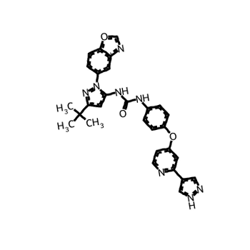 CC(C)(C)c1cc(NC(=O)Nc2ccc(Oc3ccnc(-c4cn[nH]c4)c3)cc2)n(-c2ccc3ocnc3c2)n1